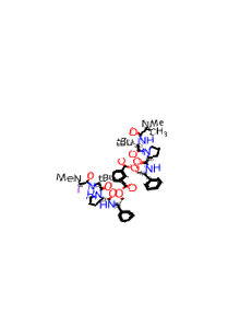 CN[C@@H](C)C(=O)N[C@H](C(=O)N1CCC[C@H]1C(=O)N[C@H](COC(=O)c1cccc(C(=O)OC[C@@H](NC(=O)[C@@H]2CCCN2C(=O)[C@@H](NC(=O)[C@H](I)NC)C(C)(C)C)c2ccccc2)c1)c1ccccc1)C(C)(C)C